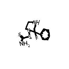 NC(=S)SN1CCNCC1(F)c1ccccc1